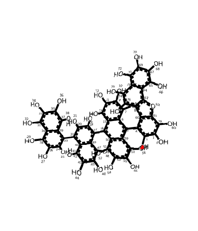 Oc1c(O)c(-c2c3c(O)c(O)c(O)c(O)c3c(-c3c(O)c(O)c(-c4c(O)c(O)c(O)c5c(O)c(O)c(O)c(O)c45)c4c(O)c(O)c(O)c(O)c34)c3c(O)c(O)c(O)c(O)c23)c2c(oc3c4c(O)c(O)c(O)c(O)c4c(O)c(O)c32)c1O